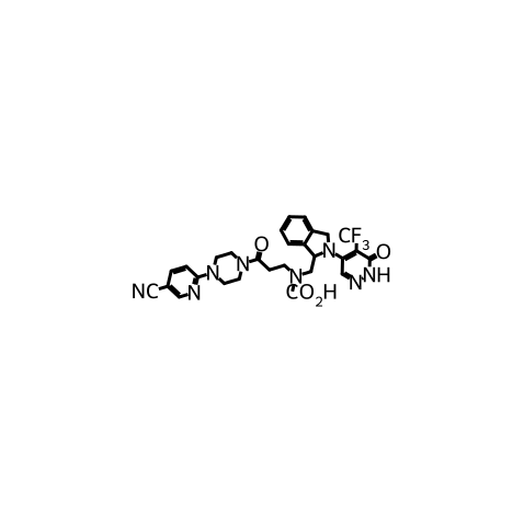 N#Cc1ccc(N2CCN(C(=O)CCN(CC3c4ccccc4CN3c3cn[nH]c(=O)c3C(F)(F)F)C(=O)O)CC2)nc1